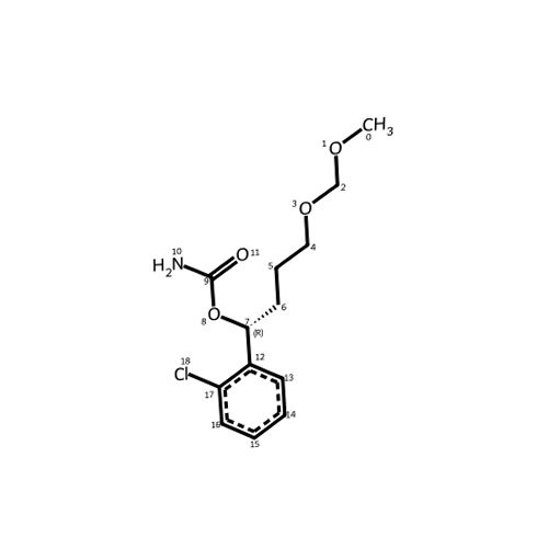 COCOCCC[C@@H](OC(N)=O)c1ccccc1Cl